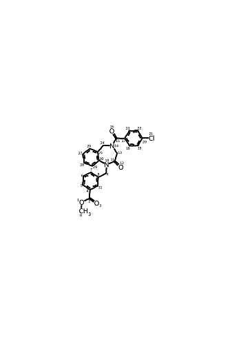 COC(=O)c1cccc(CN2C(=O)CN(C(=O)c3ccc(Cl)cc3)Cc3ccccc32)c1